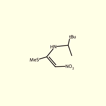 CSC(=C[N+](=O)[O-])NC(C)C(C)(C)C